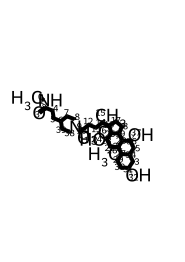 CNC(=O)CCC1CCN(C(=O)CC[C@@H](C)C2CCC3C4C(C[C@H](O)[C@@]32C)[C@@]2(C)CC[C@@H](O)CC2C[C@H]4O)CC1